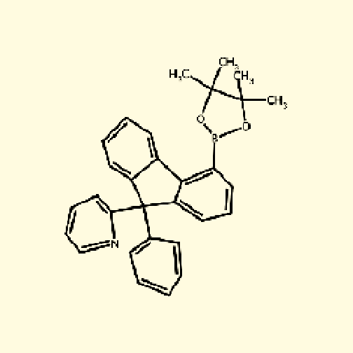 CC1(C)OB(c2cccc3c2-c2ccccc2C3(c2ccccc2)c2ccccn2)OC1(C)C